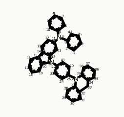 c1ccc(N(c2ccccc2)c2ccc3c4ccccc4n(-c4ccc(N5c6ccccc6Cc6ccccc65)cc4)c3c2)cc1